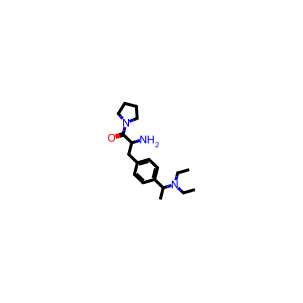 CCN(CC)C(C)c1ccc(CC(N)C(=O)N2CCCC2)cc1